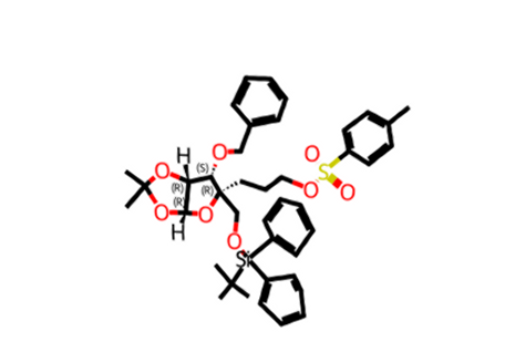 Cc1ccc(S(=O)(=O)OCCC[C@]2(CO[Si](c3ccccc3)(c3ccccc3)C(C)(C)C)O[C@@H]3OC(C)(C)O[C@@H]3[C@@H]2OCc2ccccc2)cc1